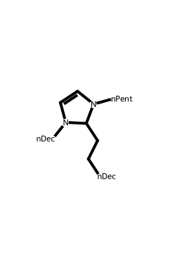 CCCCCCCCCCCCC1N(CCCCC)C=CN1CCCCCCCCCC